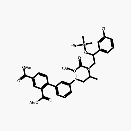 COC(=O)c1ccc(-c2cccc(NCC(C)N(CC(O[Si](C)(C)C(C)(C)C)c3cccc(Cl)c3)C(=O)OC(C)(C)C)c2)c(C(=O)OC)c1